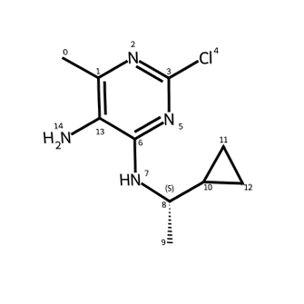 Cc1nc(Cl)nc(N[C@@H](C)C2CC2)c1N